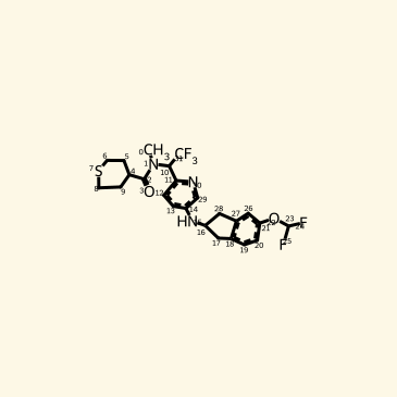 CN(C(=O)C1CCSCC1)C(c1ccc(NC2Cc3ccc(OC(F)F)cc3C2)cn1)C(F)(F)F